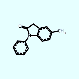 Cc1ccc2c(c1)CC(=O)N2c1ccccc1